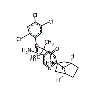 CC(C)(Oc1cc(Cl)c(Cl)cc1Cl)C(=O)N[C@H]1C[C@H]2CC[C@@H](C1)N2c1ccc(S(N)(=O)=O)cn1